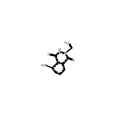 C=Cn1[nH]c(=O)c2c(N)cccc2c1=O